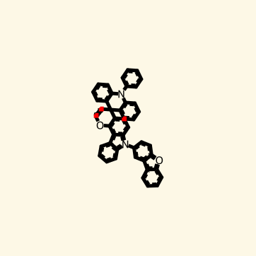 c1ccc(N2c3ccccc3C3(c4ccccc4Oc4c3ccc3c4c4ccccc4n3-c3ccc4oc5ccccc5c4c3)c3ccccc32)cc1